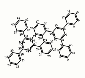 c1ccc(-c2cc(-c3ccccc3)cc(-c3ccccc3-c3ccccc3-c3nc(-c4ccccc4)nc(-c4ccccc4)n3)c2)cc1